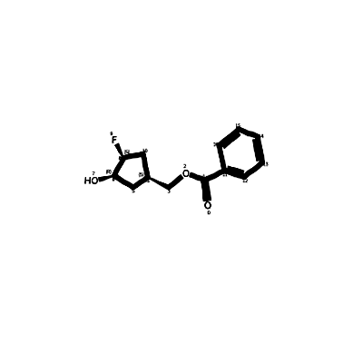 O=C(OC[C@H]1C[C@@H](O)[C@@H](F)C1)c1ccccc1